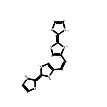 C1=CSC(=C2SC=C(/C=C\C3=CSC(=C4SC=CS4)S3)S2)S1